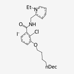 CCCCCCCCCCCCCCOc1cccc(C(=O)NCc2cccc[n+]2CC)c1Cl.[I-]